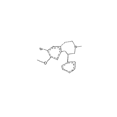 COc1cc2c(cc1Br)CCN(C)CC2c1ccccc1